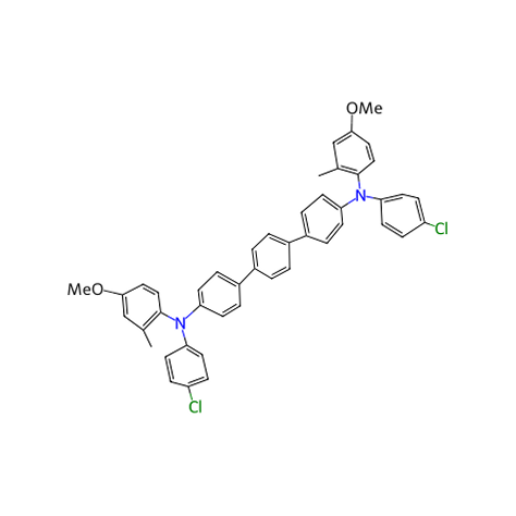 COc1ccc(N(c2ccc(Cl)cc2)c2ccc(-c3ccc(-c4ccc(N(c5ccc(Cl)cc5)c5ccc(OC)cc5C)cc4)cc3)cc2)c(C)c1